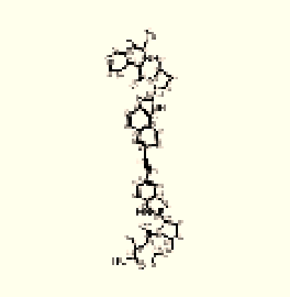 COC(=O)NC(C(=O)N1[C@@H](C)CC[C@H]1c1nc2ccc3cc(C#Cc4ccc5[nH]c(C6CCC(C)N6C(=O)[C@H](C(C)C)N(C)C(=O)O)nc5c4)ccc3c2[nH]1)C1CCOCC1